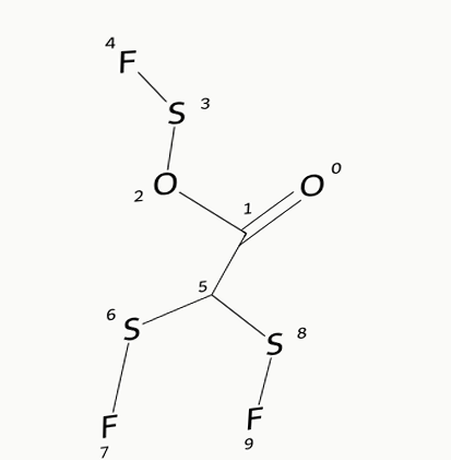 O=C(OSF)C(SF)SF